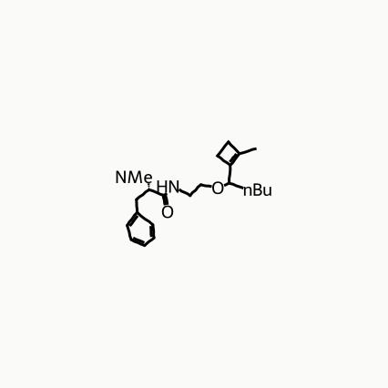 CCCCC(OCCNC(=O)[C@H](Cc1ccccc1)NC)C1=C(C)CC1